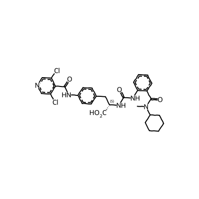 CN(C(=O)c1ccccc1NC(=O)N[C@@H](Cc1ccc(NC(=O)c2c(Cl)cncc2Cl)cc1)C(=O)O)C1CCCCC1